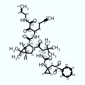 C#CCCC(NC(=O)[C@@H]1[C@@H]2[C@H](CN1C(=O)[C@@H](NC(=O)NC1(CS(=O)(=O)c3ccccc3)CC1)C(C)(C)C)C2(C)C)C(=O)C(=O)NCC=C